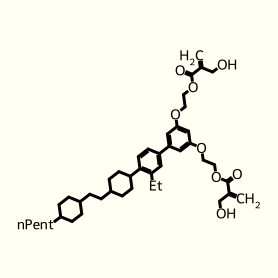 C=C(CO)C(=O)OCCOc1cc(OCCOC(=O)C(=C)CO)cc(-c2ccc(C3CCC(CCC4CCC(CCCCC)CC4)CC3)c(CC)c2)c1